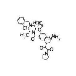 CCOc1cc2c(cc1C(=O)N1C[C@H](C)N(Cc3ccccc3Cl)C[C@H]1C)C(C(=O)C(=O)N1CCCC1)CN2N